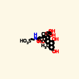 C[C@H](CCC(=O)NCCS(=O)(=O)O)[C@H]1CCC2C3C(C[C@H](O)[C@@]21C)[C@@]1(C)CC[C@@H](O)CC1C[C@H]3O.O=[Te](O)O